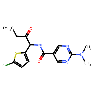 CCOC(=O)CC(=O)C(NC(=O)c1cnc(N(C)C)nc1)c1ccc(Cl)s1